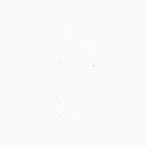 O=c1[nH]c(-c2conn2)no1